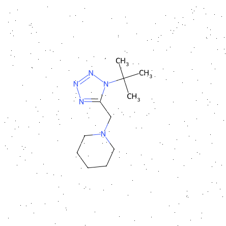 CC(C)(C)n1nnnc1CN1CCCCC1